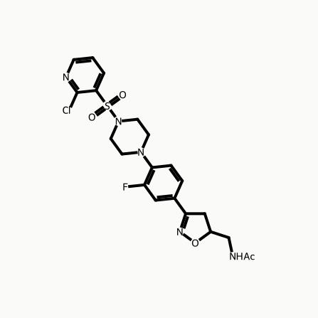 CC(=O)NCC1CC(c2ccc(N3CCN(S(=O)(=O)c4cccnc4Cl)CC3)c(F)c2)=NO1